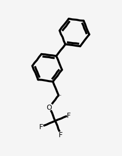 FC(F)(F)O[CH]c1cccc(-c2ccccc2)c1